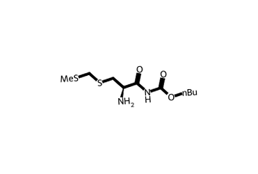 CCCCOC(=O)NC(=O)[C@@H](N)CSCSC